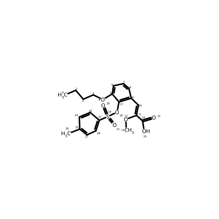 CCCCOc1cccc(C=C(OC)C(=O)O)c1OS(=O)(=O)c1ccc(C)cc1